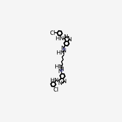 Clc1cccc(Nc2ncnc3ccc(/N=N/NCCCCCN/N=N/c4ccc5ncnc(Nc6cccc(Cl)c6)c5c4)cc23)c1